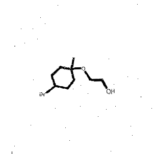 CC(C)C1CCC(C)(OCCO)CC1